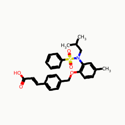 Cc1ccc(OCc2ccc(C=CC(=O)O)cc2)c(N(CC(C)C)S(=O)(=O)c2ccccc2)c1